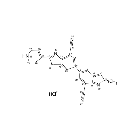 Cl.Cn1cc2cc(-c3cc(C#N)c4nc(C5=CCNCC5)sc4c3)cc(C#N)c2n1